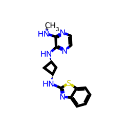 CNc1nccnc1N[C@H]1C[C@@H](Nc2nc3ccccc3s2)C1